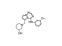 COc1cccc(Nc2ncnn3ccc(CN4CCCC(O)C4)c23)c1